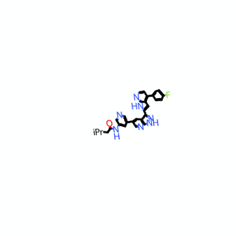 CC(C)CC(=O)Nc1cncc(-c2cnc3[nH]nc(-c4cc5c(-c6ccc(F)cc6)ccnc5[nH]4)c3c2)c1